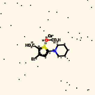 CCc1cc(N2CCCCC2)sc1C(=O)O.O=C([O-])O.[Cs+]